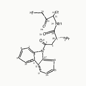 CCC[C@H](CC(=O)n1c2ccccc2c2ccccc21)C(=O)NC(CC)C(=O)CF